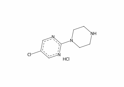 Cl.Clc1cnc(N2CCNCC2)nc1